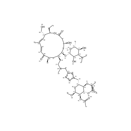 CC[C@H]1OC(=O)C[C@@H](O)[C@H](C)[C@@H](O[C@@H]2O[C@H](C)[C@@H](O)C(N(C)C)C2O)[C@@H](CCN(C)Cc2cn(C[C@H]3O[C@H](OC)[C@H](OC(C)=O)[C@@H](OC(C)=O)[C@@H]3OC(C)=O)nn2)C[C@@H](C)C(=O)/C=C/C(C)=C/[C@@H]1CO